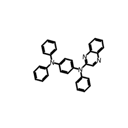 c1ccc(N(c2ccccc2)c2ccc(N(c3ccccc3)c3cnc4ccccc4n3)cc2)cc1